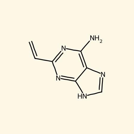 C=Cc1nc(N)c2nc[nH]c2n1